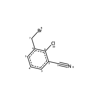 N#Cc1cccc(CBr)c1Cl